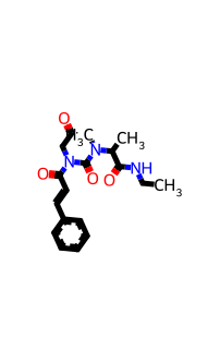 CCNC(=O)C(C)N(C)C(=O)N(C[C]=O)C(=O)/C=C/c1ccccc1